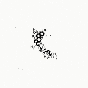 CC[C@H]1[C@@H](O)[C@@H]2[C@H](CC[C@]3(C)[C@@H]([C@H](C)COC(=O)NS(=O)(=O)c4ccc(C(C)(C)C)s4)CC[C@@H]23)[C@@]2(C)CC[C@@H](O)C[C@@H]12